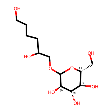 OCCCCC(O)COC1O[C@H](CO)[C@@H](O)[C@H](O)[C@H]1O